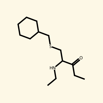 CCNC(CSCC1CCCCC1)C(=O)CC